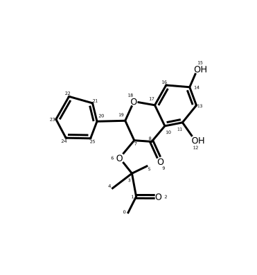 CC(=O)C(C)(C)OC1C(=O)c2c(O)cc(O)cc2OC1c1ccccc1